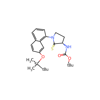 CC(C)(C)OC(=O)N[C@@H]1CCN(c2cccc3ccc(O[Si](C)(C)C(C)(C)C)cc23)C1=S